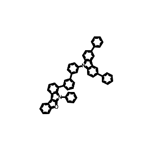 c1ccc(-c2ccc3c(c2)c2cc(-c4ccccc4)ccc2n3-c2cccc(-c3cccc(-c4cccc5c6c7ccccc7oc6n(-c6ccccc6)c45)c3)c2)cc1